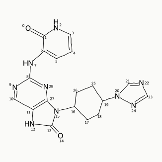 O=c1[nH]cccc1Nc1ncc2[nH]c(=O)n(C3CCC(n4cncn4)CC3)c2n1